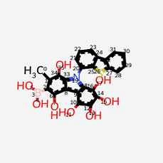 Cc1c(B(O)O)c(O)c2c3c(O)c(O)c(O)c(O)c3n(-c3cccc4c3sc3ccccc34)c2c1O